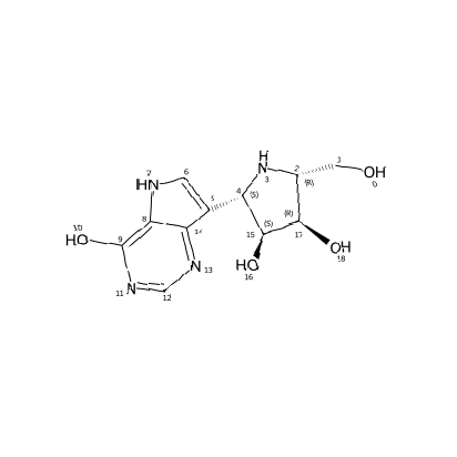 OC[C@H]1N[C@@H](c2c[nH]c3c(O)ncnc23)[C@H](O)[C@@H]1O